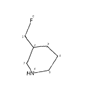 FCC1[CH]CCNC1